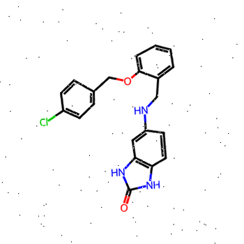 O=c1[nH]c2ccc(NCc3ccccc3OCc3ccc(Cl)cc3)cc2[nH]1